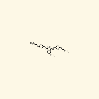 CCCCC1CCC(COC(=O)C2CCC(C)CC2C(=O)OCC2CCC(CCCC)CC2)CC1